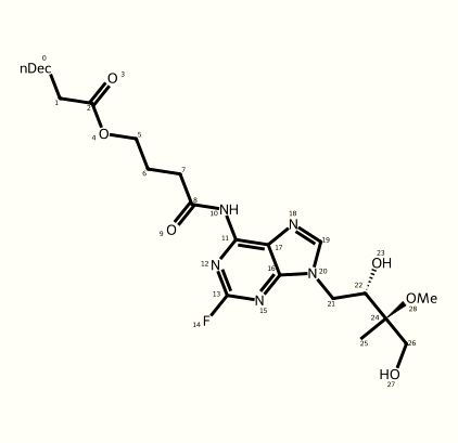 CCCCCCCCCCCC(=O)OCCCC(=O)Nc1nc(F)nc2c1ncn2C[C@H](O)[C@@](C)(CO)OC